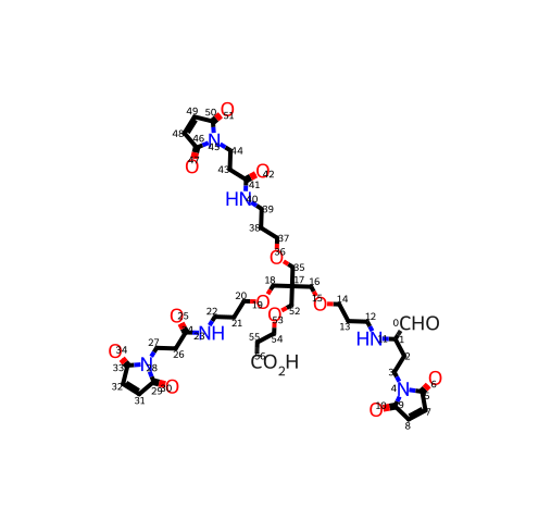 O=CC(CCN1C(=O)C=CC1=O)NCCCOCC(COCCCNC(=O)CCN1C(=O)C=CC1=O)(COCCCNC(=O)CCN1C(=O)C=CC1=O)COCCC(=O)O